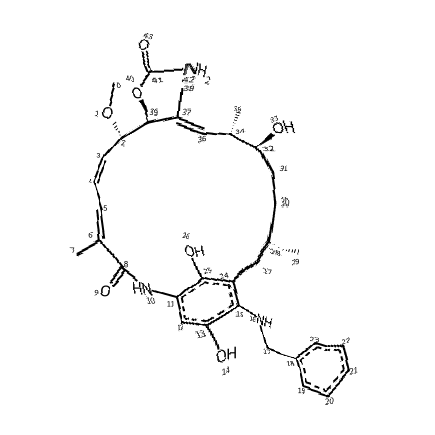 CO[C@H]1/C=C\C=C(/C)C(=O)Nc2cc(O)c(NCc3ccccc3)c(c2O)C[C@@H](C)CC[C@H](O)[C@@H](C)/C=C(\C)[C@@H]1OC(N)=O